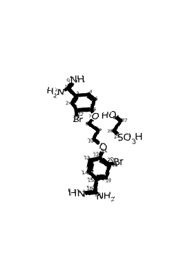 N=C(N)c1ccc(OCCCOc2ccc(C(=N)N)cc2Br)c(Br)c1.O=S(=O)(O)CCO